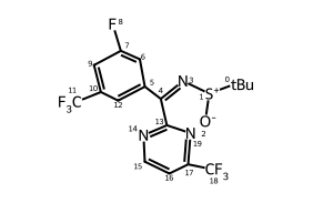 CC(C)(C)[S+]([O-])N=C(c1cc(F)cc(C(F)(F)F)c1)c1nccc(C(F)(F)F)n1